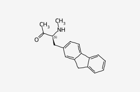 CN[C@@H](Cc1ccc2c(c1)Cc1ccccc1-2)C(C)=O